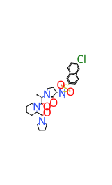 C[C@H](C(=O)N1CCCCC1C(=O)N1CCCC1)N1CC[C@H](N(C)S(=O)(=O)c2ccc3cc(Cl)ccc3c2)C1=O